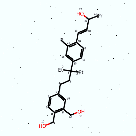 CCC(CC)(CCc1ccc(CO)c(CO)c1)c1ccc(C=CC(O)C(C)C)c(C)c1